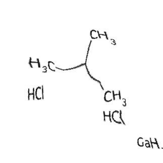 CC(C)C.Cl.Cl.[GaH3]